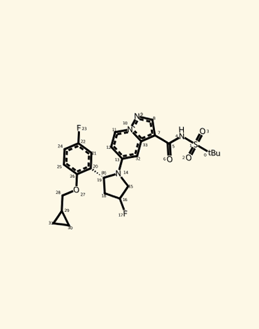 CC(C)(C)S(=O)(=O)NC(=O)c1cnn2ccc(N3CC(F)C[C@@H]3c3cc(F)ccc3OCC3CC3)cc12